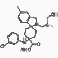 COC(=O)C1(Nc2cccc(Cl)c2)CCC2(CC1)c1ccc(C)cc1CN2C[C@@H](C)CO